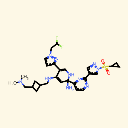 CN(C)CC1CC(CNC2=CC(N)(c3ccnc(-c4cnn(S(=O)(=O)C5CC5)c4)n3)NC=C2c2ccn(CC(F)F)n2)C1